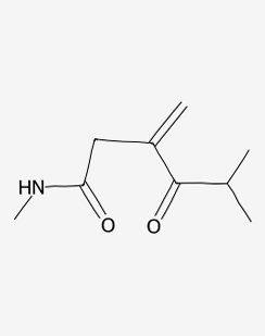 C=C(CC(=O)NC)C(=O)C(C)C